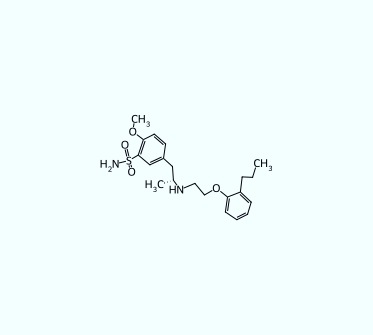 CCCc1ccccc1OCCN[C@H](C)Cc1ccc(OC)c(S(N)(=O)=O)c1